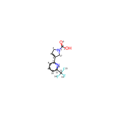 O=C(O)N1CC=C(c2cccc(C(F)(F)F)n2)C1